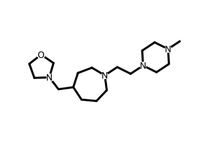 CN1CCN(CCN2CCCC(CN3CCOC3)CC2)CC1